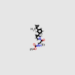 CC[C@H](CNC(=O)OC(C)C)C(=O)N1CC2CC2(c2cccc(C3(C)CC3)c2)C1